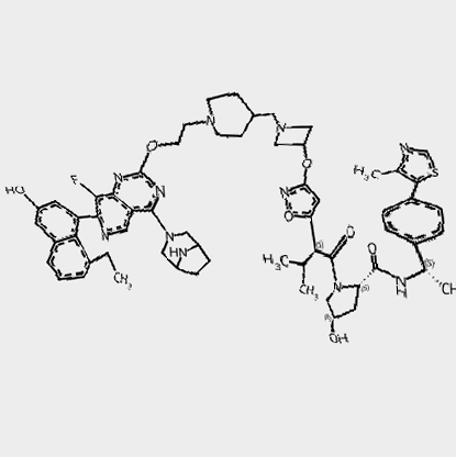 CCc1cccc2cc(O)cc(-c3ncc4c(N5CC6CCC(C5)N6)nc(OCCN5CCC(CN6CC(Oc7cc([C@@H](C(=O)N8C[C@H](O)C[C@H]8C(=O)N[C@@H](C)c8ccc(-c9scnc9C)cc8)C(C)C)on7)C6)CC5)nc4c3F)c12